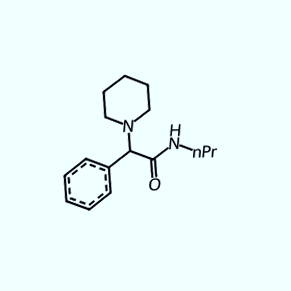 CCCNC(=O)C(c1ccccc1)N1CCCCC1